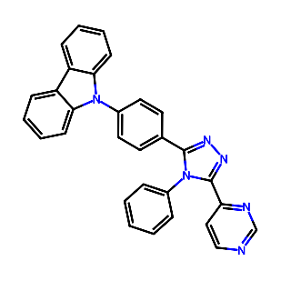 c1ccc(-n2c(-c3ccc(-n4c5ccccc5c5ccccc54)cc3)nnc2-c2ccncn2)cc1